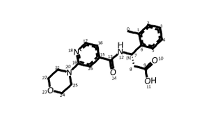 Cc1ccccc1[C@H](CC(=O)O)NC(=O)c1ccnc(N2CCOCC2)c1